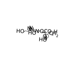 C=CC1CCB(O)OC1/C(=C/OC1CN(C(O)Cn2cc(CCCO)nn2)C1)C(=O)O